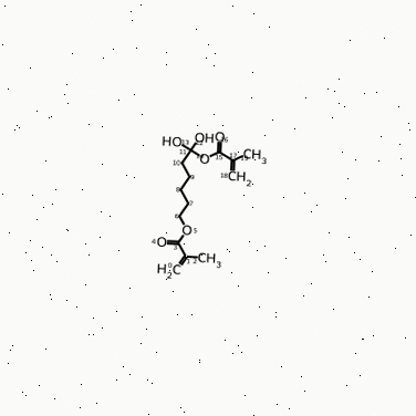 C=C(C)C(=O)OCCCCCC(O)(O)OC(=O)C(=C)C